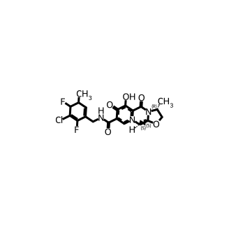 CC1C=C(CNC(=O)c2cn3c(c(O)c2=O)C(=O)N2[C@H](C)CO[C@]24CCC[C@H]34)C(F)=C(Cl)C1F